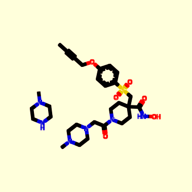 CC#CCOc1ccc(S(=O)(=O)CC2(C(=O)NO)CCN(C(=O)CN3CCN(C)CC3)CC2)cc1.CN1CCNCC1